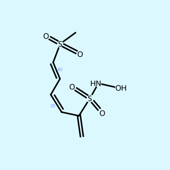 C=C(/C=C\C=C\S(C)(=O)=O)S(=O)(=O)NO